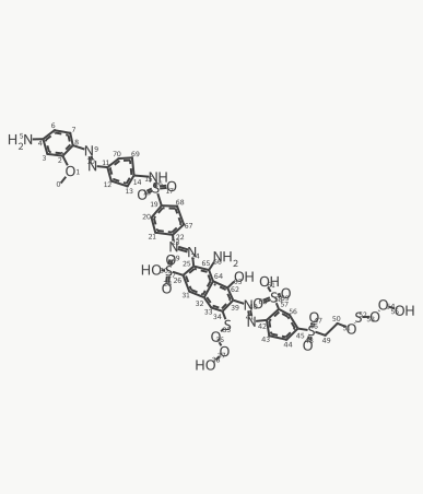 COc1cc(N)ccc1/N=N/c1ccc(NS(=O)(=O)c2ccc(/N=N/c3c(S(=O)(=O)O)cc4cc(SOOO)c(/N=N/c5ccc(S(=O)(=O)CCOSOOO)cc5S(=O)(=O)O)c(O)c4c3N)cc2)cc1